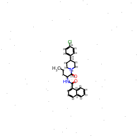 CCCC(NC(=O)c1cccc2ccccc12)C(=O)N1CCC(c2ccc(Cl)cc2)CC1